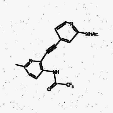 CC(=O)Nc1cc(C#Cc2nc(C)ccc2NC(=O)C(F)(F)F)ccn1